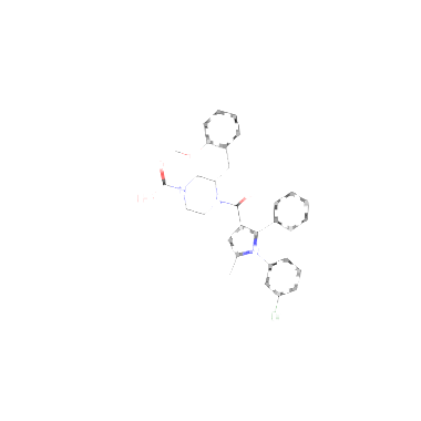 COc1ccccc1CC1CN(C(=O)O)CCN1C(=O)c1cc(C)n(-c2cccc(Br)c2)c1-c1ccccc1